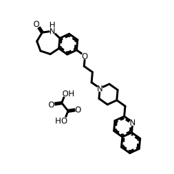 O=C(O)C(=O)O.O=C1CCCc2cc(OCCCN3CCC(Cc4ccc5ccccc5n4)CC3)ccc2N1